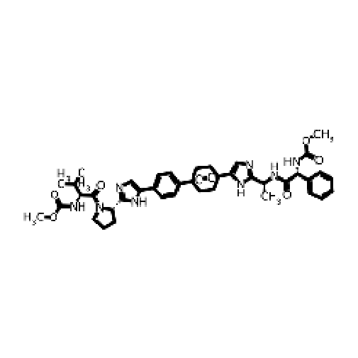 COC(=O)N[C@H](C(=O)N1CCC[C@H]1c1ncc(-c2ccc(C34CCC(c5cnc([C@H](C)NC(=O)[C@H](NC(=O)OC)c6ccccc6)[nH]5)(CC3)CC4)cc2)[nH]1)C(C)C